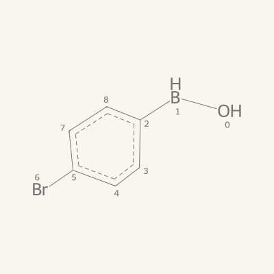 OBc1ccc(Br)cc1